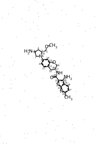 COC[C@@H]1C[C@@H](N)CN1c1ccc2c(c1)OC[C@H](NC(=O)c1sc3nc(C)ccc3c1N)C2